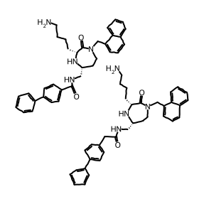 NCCCC[C@H]1N[C@@H](CNC(=O)Cc2ccc(-c3ccccc3)cc2)CCN(Cc2cccc3ccccc23)C1=O.NCCCC[C@H]1N[C@@H](CNC(=O)c2ccc(-c3ccccc3)cc2)CCN(Cc2cccc3ccccc23)C1=O